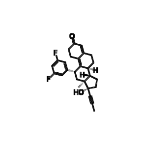 CC#C[C@]1(O)CC[C@H]2[C@@H]3CCC4=CC(=O)CCC4=C3[C@@H](c3cc(F)cc(F)c3)C[C@@]21C